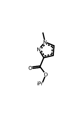 CC(C)OC(=O)c1ccn(C)n1